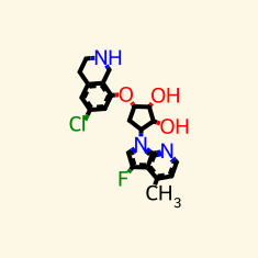 Cc1ccnc2c1c(F)cn2C1CC(Oc2cc(Cl)cc3c2CNCC3)C(O)C1O